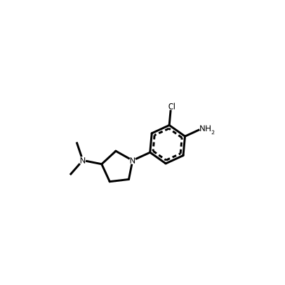 CN(C)C1CCN(c2ccc(N)c(Cl)c2)C1